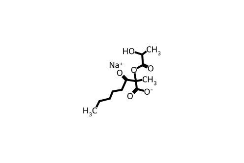 CCCCCC(=O)C(C)(OC(=O)C(C)O)C(=O)[O-].[Na+]